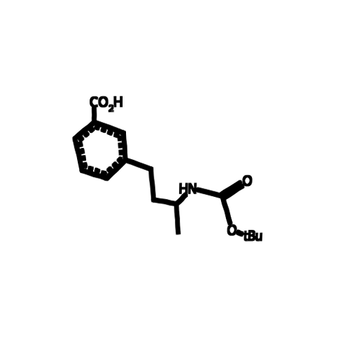 CC(CCc1cccc(C(=O)O)c1)NC(=O)OC(C)(C)C